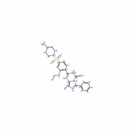 CCOc1cc(S(=O)(=O)N2CCC(O)CC2)ccc1-c1nc2c(C)nc(-c3ccccc3)n2c(=O)[nH]1